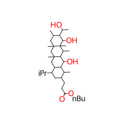 CCCCOC(=O)CCC1CC(C(C)C)C2CC3(C)CC4(C)CC(C)C(C(C)O)C(O)C4(C)C(C)C3C(O)C2C1C